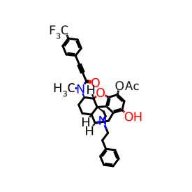 CC(=O)Oc1cc(O)c2c3c1O[C@H]1[C@H](N(C)C(=O)C#Cc4ccc(C(F)(F)F)cc4)CC[C@H]4[C@@H](C2)N(CCc2ccccc2)CC[C@@]341